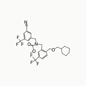 COC(=O)N(Cc1cc(C#N)cc(C(F)(F)F)c1)Cc1cc(C(F)(F)F)ccc1COCC1CCCCC1